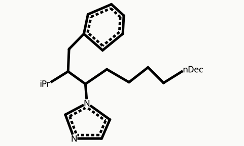 CCCCCCCCCCCCCCC(C(Cc1ccccc1)C(C)C)n1ccnc1